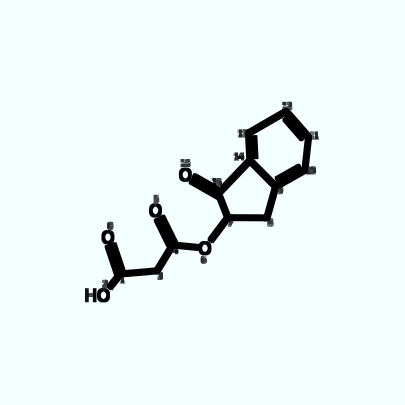 O=C(O)CC(=O)OC1Cc2ccccc2C1=O